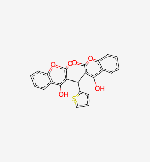 O=c1oc2ccccc2c(O)c1C(c1cccs1)c1c(O)c2ccccc2oc1=O